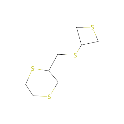 C1CSC(CSC2CSC2)CS1